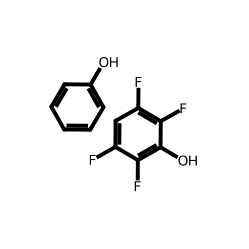 Oc1c(F)c(F)cc(F)c1F.Oc1ccccc1